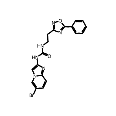 O=C(NCCc1noc(-c2ccccc2)n1)Nc1cn2cc(Br)ccc2n1